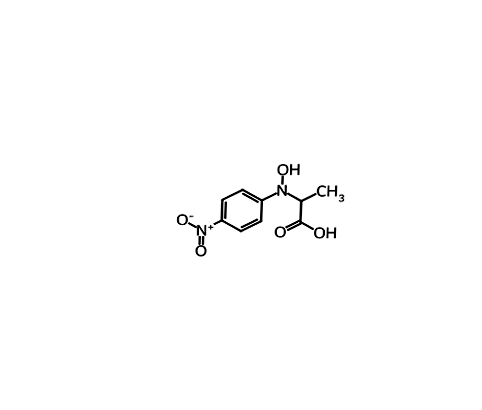 CC(C(=O)O)N(O)c1ccc([N+](=O)[O-])cc1